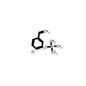 C=Cc1ccccc1.C[N+](C)(C)C.[Cl-]